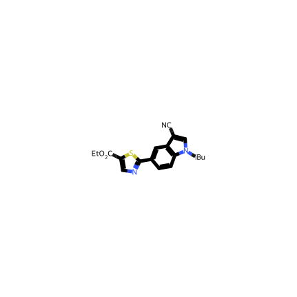 CCOC(=O)c1cnc(-c2ccc3c(c2)c(C#N)cn3C(C)CC)s1